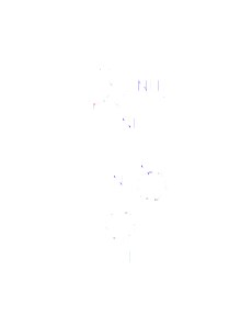 Nc1c(NCCCN(Cc2ccc(F)cc2)c2ccccn2)c(=O)c1=O